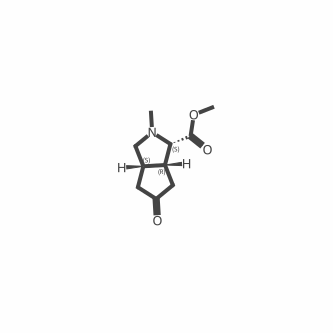 COC(=O)[C@@H]1[C@@H]2CC(=O)C[C@@H]2CN1C